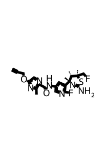 C#CCOc1cnc(C(=O)Nc2cnc(F)c([C@@]3(C)N=C(N)S[C@](C)(CF)[C@H]3C)c2)c(C)n1